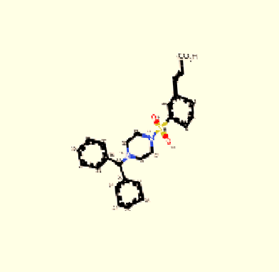 O=C(O)C=Cc1cccc(S(=O)(=O)N2CCN(C(c3ccccc3)c3ccccc3)CC2)c1